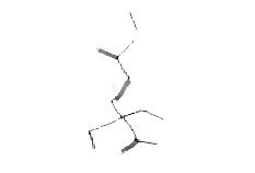 CCC(/C=C/C(=O)OC)(CC)C(C)=O